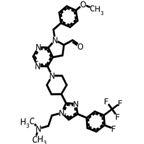 COc1ccc(CN2c3ncnc(N4CCC(c5nc(-c6ccc(F)c(C(F)(F)F)c6)cn5CCN(C)C)CC4)c3CC2C=O)cc1